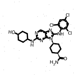 NC(=O)[C@H]1CC[C@@H](n2c(Nc3c(Cl)cc(Cl)cc3Cl)nc3cnc(NC4CCC(O)CC4)nc32)CC1